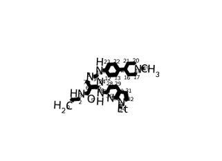 C=CCNC(=O)c1cnc(Nc2ccc(C3CCN(C)CC3)cc2)nc1Nc1ccc2ccn(CC)c2n1